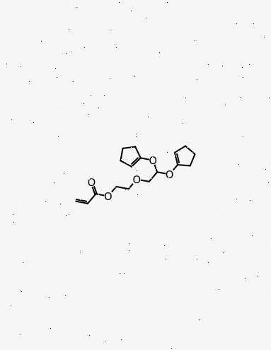 C=CC(=O)OCCOCC(OC1=CCCC1)OC1=CCCC1